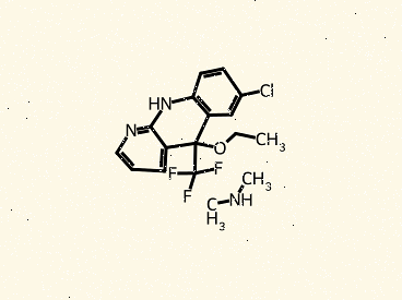 CCOC1(C(F)(F)F)c2cc(Cl)ccc2Nc2ncccc21.CNC